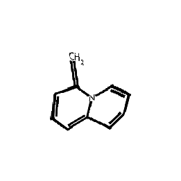 C=C1C=CC=C2C=CC=CN12